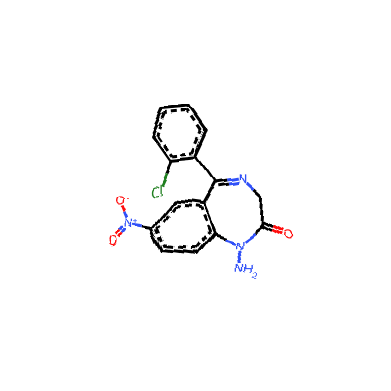 NN1C(=O)CN=C(c2ccccc2Cl)c2cc([N+](=O)[O-])ccc21